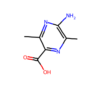 Cc1nc(C(=O)O)c(C)nc1N